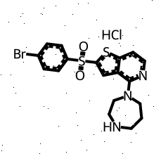 Cl.O=S(=O)(c1ccc(Br)cc1)c1cc2c(N3CCCNCC3)nccc2s1